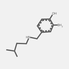 Bc1cc(CNCCC(C)C)ccc1O